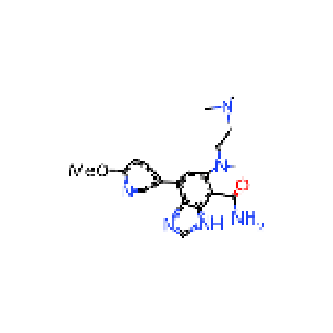 COc1ccc(-c2cc(N(C)CCN(C)C)c(C(N)=O)c3[nH]cnc23)cn1